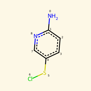 Nc1ccc(SCl)cn1